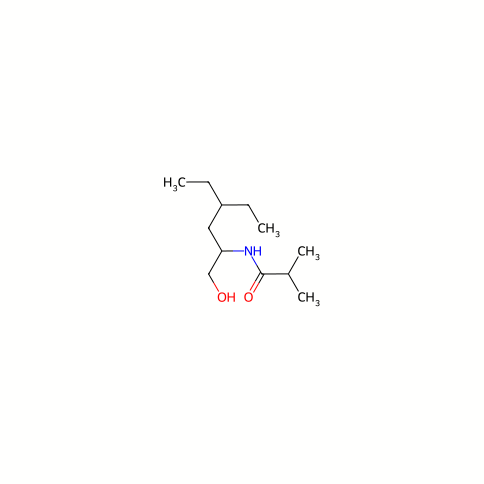 CCC(CC)CC(CO)NC(=O)C(C)C